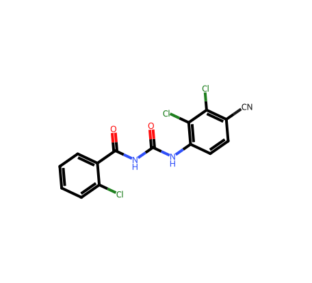 N#Cc1ccc(NC(=O)NC(=O)c2ccccc2Cl)c(Cl)c1Cl